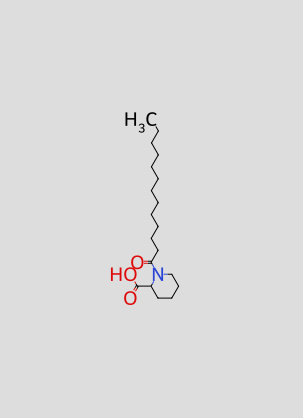 CCCCCCCCCCCCC(=O)N1CCCCC1C(=O)O